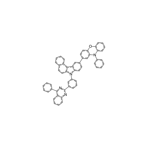 c1ccc(-c2nc(-c3cccc(-n4c5ccc(-c6ccc7c(c6)N(c6ccccc6)c6ccccc6O7)cc5c5c6ccccc6ccc54)c3)nc3ccccc23)cc1